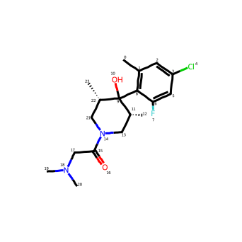 Cc1cc(Cl)cc(F)c1C1(O)[C@H](C)CN(C(=O)CN(C)C)C[C@@H]1C